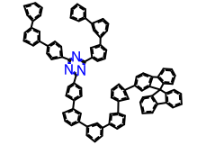 c1ccc(-c2cccc(-c3ccc(-c4nc(-c5ccc(-c6cccc(-c7cccc(-c8cccc(-c9cccc(-c%10ccc%11c(c%10)C%10(c%12ccccc%12-c%12ccccc%12%10)c%10ccccc%10-%11)c9)c8)c7)c6)cc5)nc(-c5cccc(-c6cccc(-c7ccccc7)c6)c5)n4)cc3)c2)cc1